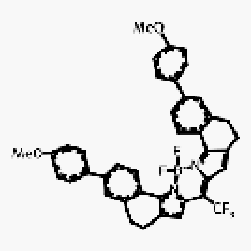 COc1ccc(-c2ccc3c(c2)CCC2=CC4=C(C(F)(F)F)c5cc6c(n5[B-](F)(F)[N+]4=C23)-c2ccc(-c3ccc(OC)cc3)cc2CC6)cc1